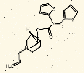 C=CC[N+]12CCC(CC1)[C@@H](OC(=O)N(Cc1cccs1)c1cccs1)C2